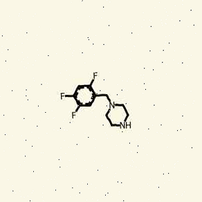 Fc1cc(F)c(CN2CCNCC2)cc1F